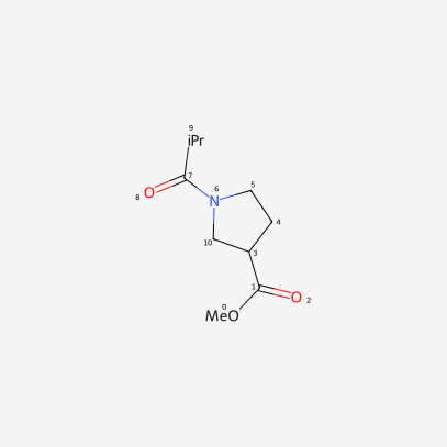 COC(=O)C1CCN(C(=O)C(C)C)C1